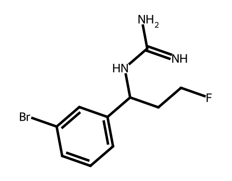 N=C(N)NC(CCF)c1cccc(Br)c1